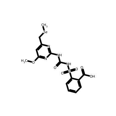 COc1cc(C[Se]C)nc(NC(=O)NS(=O)(=O)c2ccccc2C(=O)O)n1